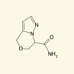 NC(=O)C1COCc2ccnn21